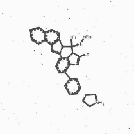 C1CC[SiH2]C1.CCC[CH2][Ti][C](CCC)(C1C(CC)=Cc2c(-c3ccccc3)cccc21)C1C(C)=Cc2c1ccc1ccccc21